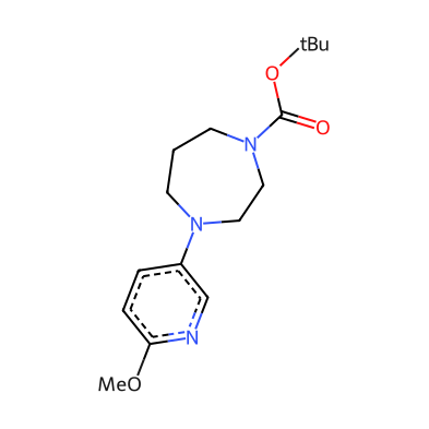 COc1ccc(N2CCCN(C(=O)OC(C)(C)C)CC2)cn1